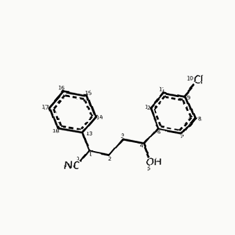 N#CC(CCC(O)c1ccc(Cl)cc1)c1ccccc1